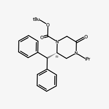 CC(C)N1C[C@H](C(c2ccccc2)c2ccccc2)N(C(=O)OC(C)(C)C)CC1=O